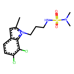 Cc1cc2ccc(Cl)c(Cl)c2n1CCCNS(=O)(=O)N(C)C